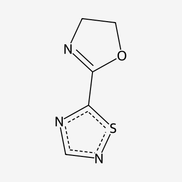 c1nsc(C2=NCCO2)n1